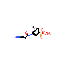 N#CCC(=O)Nc1cccc(S(=O)(=O)O)c1.[KH]